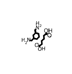 NCC1CCCC(CN)C1.O=C(O)CCCCC(=O)O